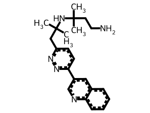 CC(C)(CCN)NC(C)(C)Cc1ccc(-c2cnc3ccccc3c2)nn1